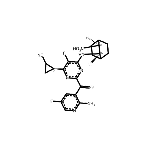 N#CC1C[C@@H]1c1nc(C(=N)c2cc(F)cnc2N)nc(N[C@H]2C3CCC(CC3)[C@@H]2C(=O)O)c1F